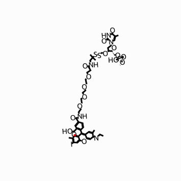 CC/N=c1/cc2oc3cc(I)c(C)cc3c(-c3ccc(C(=O)NCCOCCOCCOCCOCCC(=O)NCC(C)(C)SSCOC4C[C@H](n5cc(C)c(=O)[nH]c5=O)O[C@@H]4COP(=O)(O)OC)cc3C(=O)O)c-2cc1C